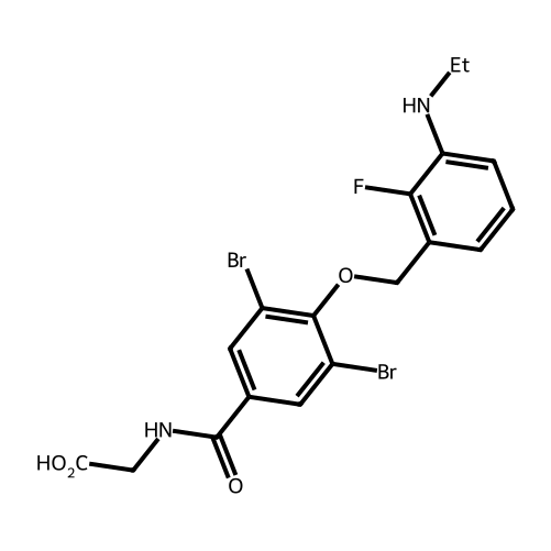 CCNc1cccc(COc2c(Br)cc(C(=O)NCC(=O)O)cc2Br)c1F